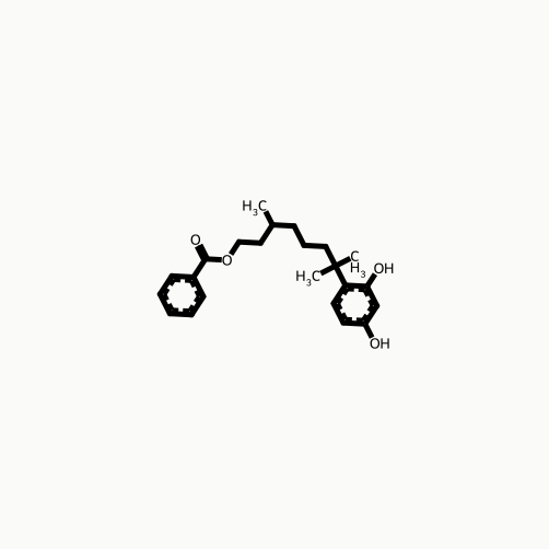 CC(CCCC(C)(C)c1ccc(O)cc1O)CCOC(=O)c1ccccc1